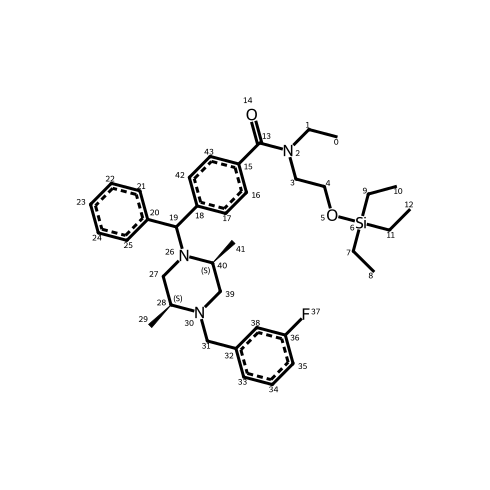 CCN(CCO[Si](CC)(CC)CC)C(=O)c1ccc(C(c2ccccc2)N2C[C@H](C)N(Cc3cccc(F)c3)C[C@@H]2C)cc1